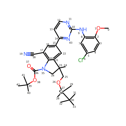 COc1ccc(Cl)cc1Nc1nccc(-c2cc(C#N)c3c(c2)C(C)(CO[Si](C)(C)C(C)(C)C)CN3C(=O)OC(C)(C)C)n1